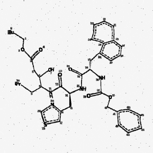 CCC(C)COC(=O)CC(O)C(CC(C)C)NC(=O)[C@H](Cc1cscn1)NC(=O)[C@H](Cc1cccc2ccccc12)NC(=O)OCc1ccccc1